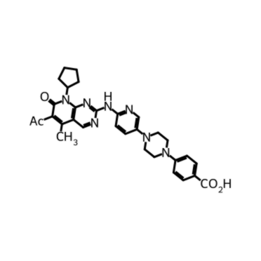 CC(=O)c1c(C)c2cnc(Nc3ccc(N4CCN(c5ccc(C(=O)O)cc5)CC4)cn3)nc2n(C2CCCC2)c1=O